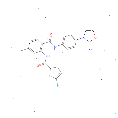 Cc1ccc(C(=O)Nc2ccc(N3CCOC3=N)cc2)c(NC(=O)C2CC=C(Cl)S2)c1